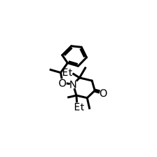 CCC1(C)CC(=O)C(C)C(C)(CC)N1OC(C)c1ccccc1